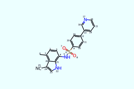 Cc1ccc(NS(=O)(=O)c2ccc(-c3cccnc3)cc2)c2[nH]cc(C#N)c12